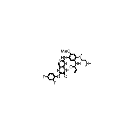 C=CC(=O)Nc1cc(Nc2ncc3nc(Oc4ccc(F)cc4F)c(=O)n(C)c3n2)c(OC)cc1N(C)CCN(C)C